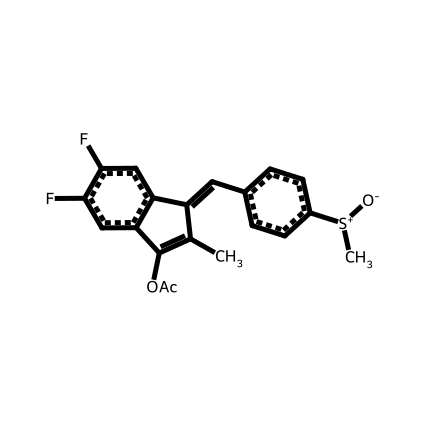 CC(=O)OC1=C(C)C(=Cc2ccc([S+](C)[O-])cc2)c2cc(F)c(F)cc21